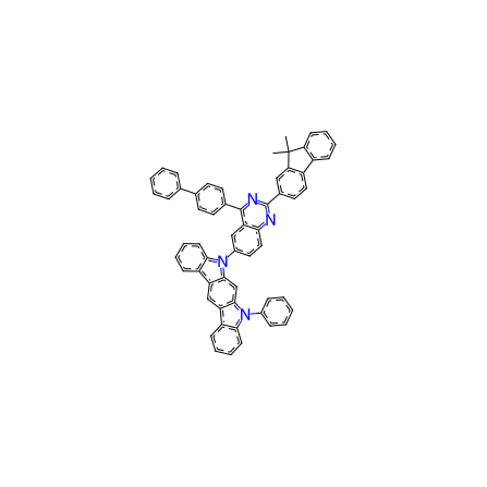 CC1(C)c2ccccc2-c2ccc(-c3nc(-c4ccc(-c5ccccc5)cc4)c4cc(-n5c6ccccc6c6cc7c8ccccc8n(-c8ccccc8)c7cc65)ccc4n3)cc21